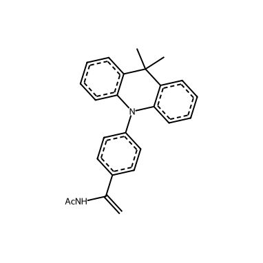 C=C(NC(C)=O)c1ccc(N2c3ccccc3C(C)(C)c3ccccc32)cc1